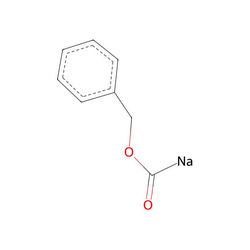 O=[C]([Na])OCc1ccccc1